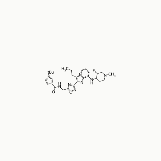 C/C=C/c1c(-c2noc(CNC(=O)c3ccn(C(C)(C)C)c3)n2)nc2c(N[C@@H]3CCN(C)C[C@@H]3F)cccn12